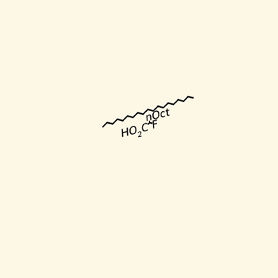 CCCCCCCCC(F)C(=O)O.CCCCCCCCCCCCCCCCCCC